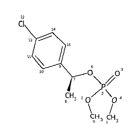 COP(=O)(OC)O[C@@H](C)c1ccc(Cl)cc1